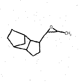 CC1OC1C1CCC2C3CCC(C3)C21